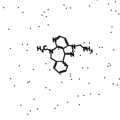 CN1Cc2ccccc2-c2nn(CP)c3ccnc1c23